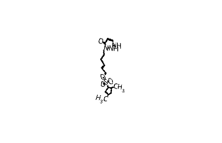 CC1CC(C)C(S(=O)(=O)OCCCCCCN2NNC=CC2=O)C1